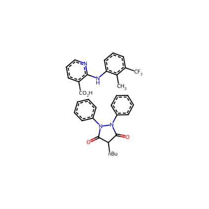 CCCCC1C(=O)N(c2ccccc2)N(c2ccccc2)C1=O.Cc1c(Nc2ncccc2C(=O)O)cccc1C(F)(F)F